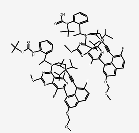 COCOc1cc(-c2nc3c4c(nc(SC)nc4c2F)N(C(C)c2ccccc2N(C(=O)O)C(C)(C)C)CCO3)c2c(C#C[Si](C(C)C)(C(C)C)C(C)C)c(F)ccc2c1.COCOc1cc(-c2nc3c4c(nc(SC)nc4c2F)N(C(C)c2ccccc2NC(=O)OC(C)(C)C)CCO3)c2c(C#C[Si](C(C)C)(C(C)C)C(C)C)c(F)ccc2c1